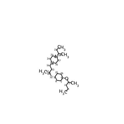 CCCC(C)O[C@H]1CC[C@H](C[C@H](C)CCN2CCN(C(C)CC)CC2)CC1